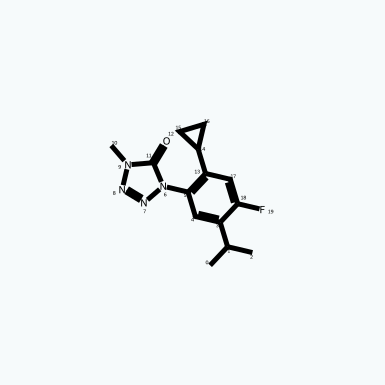 CC(C)c1cc(-n2nnn(C)c2=O)c(C2CC2)cc1F